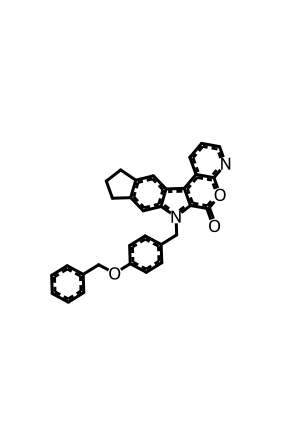 O=c1oc2ncccc2c2c3cc4c(cc3n(Cc3ccc(OCc5ccccc5)cc3)c12)CCC4